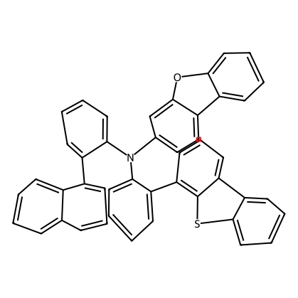 c1ccc(N(c2ccc3c(c2)oc2ccccc23)c2ccccc2-c2cccc3c2sc2ccccc23)c(-c2cccc3ccccc23)c1